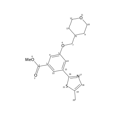 COC(=O)c1cc(OCC2CCOCC2)cc(-c2ncc(C)s2)c1